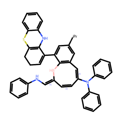 CC(C)c1cc2c(c(C3=CCCC4=C3Nc3ccccc3S4)c1)BC(=C\Nc1ccccc1)/C=C\C(N(c1ccccc1)c1ccccc1)=C/2